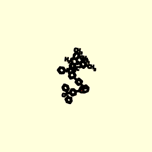 Cc1cc(C)c(B(c2ccc3c(c2)c2cc(-c4ccc(C56CC7CC(C5)CC(c5ccc(P(=O)(c8ccccc8)c8ccccc8)cc5)(C7)C6)cc4)ccc2n3-c2ccccc2)c2c(C)cc(C)cc2C)c(C)c1